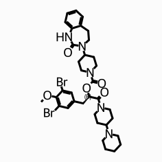 COc1c(Br)cc(C[C@@H](OC(=O)N2CCC(N3CCc4ccccc4NC3=O)CC2)C(=O)N2CCC(N3CCCCC3)CC2)cc1Br